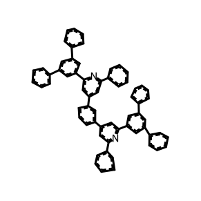 c1ccc(-c2cc(-c3ccccc3)cc(-c3cc(-c4cccc(-c5cc(-c6ccccc6)nc(-c6cc(-c7ccccc7)cc(-c7ccccc7)c6)c5)c4)cc(-c4ccccc4)n3)c2)cc1